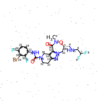 CN1O[C@H](CNCC(F)F)Cn2nc3c(c2C1=O)CN(C(=O)Nc1ccc(F)c(Br)c1F)CC3